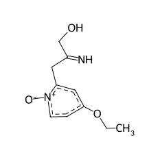 CCOc1cc[n+]([O-])c(CC(=N)CO)c1